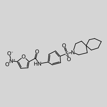 O=C(Nc1ccc(S(=O)(=O)N2CCC3(CCCCC3)CC2)cc1)c1ccc([N+](=O)[O-])o1